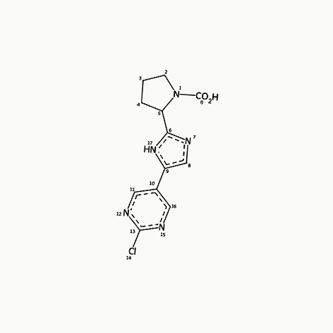 O=C(O)N1CCCC1c1ncc(-c2cnc(Cl)nc2)[nH]1